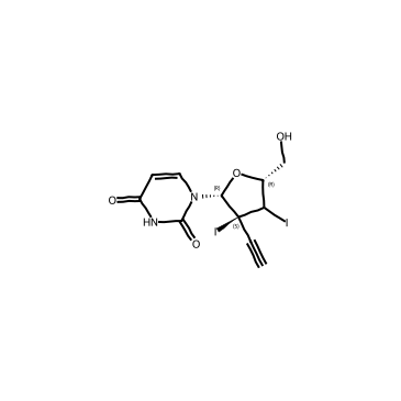 C#C[C@@]1(I)C(I)[C@@H](CO)O[C@H]1n1ccc(=O)[nH]c1=O